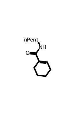 CCCCCNC(=O)C1=CCCCC1